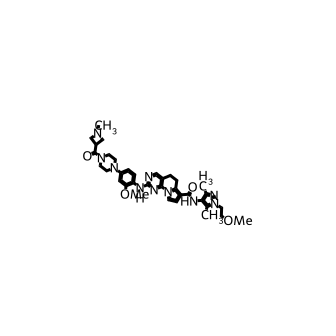 COCCn1nc(C)c(NC(=O)c2ccn3c2CCc2cnc(Nc4ccc(N5CCN(C(=O)C6CN(C)C6)CC5)cc4OC)nc2-3)c1C